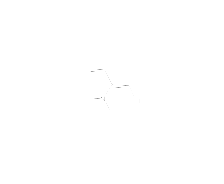 C=C/C(=C/C)[N+](=O)[O-]